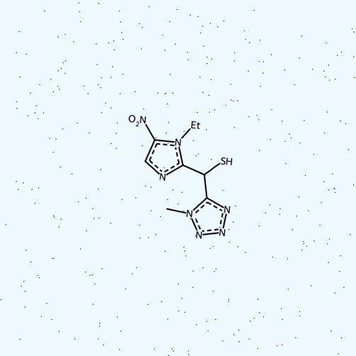 CCn1c([N+](=O)[O-])cnc1C(S)c1nnnn1C